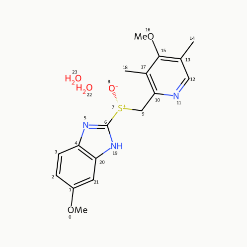 COc1ccc2nc([S@+]([O-])Cc3ncc(C)c(OC)c3C)[nH]c2c1.O.O